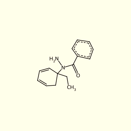 CCC1(N(N)C(=O)c2ccccc2)C=CC=CC1